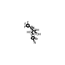 N#Cc1ccc(SC2OC(CO)C(O)C(n3cc(-c4cc(F)c(F)c(F)c4)nn3)C2O)cc1Br